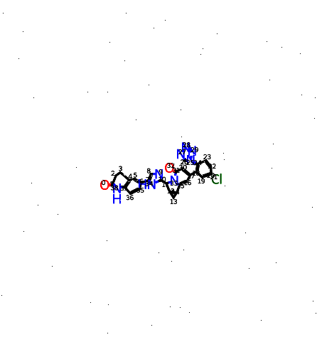 O=C1CCc2cc(-c3cnc(C4C5CC5c5cc(-c6cc(Cl)ccc6-n6cnnn6)cc(=O)n54)[nH]3)ccc2N1